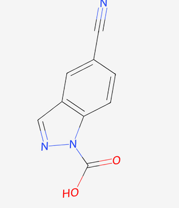 N#Cc1ccc2c(cnn2C(=O)O)c1